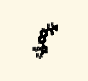 Cc1ncc(-c2cc3cc(NC(=O)C4(F)CC4)ncc3cn2)n1C